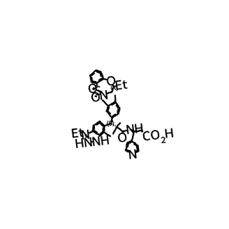 CC[C@@H]1CN(Cc2cc([C@@H](c3ccc4c(c3C)NNN4CC)C(C)(C)C(=O)NC(CC(=O)O)c3ccncc3)ccc2C)S(=O)(=O)c2ccccc2O1